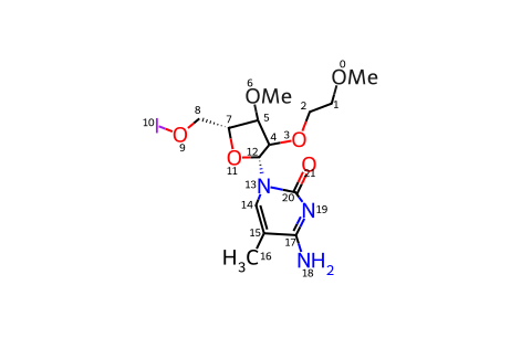 COCCOC1C(OC)[C@@H](COI)O[C@H]1n1cc(C)c(N)nc1=O